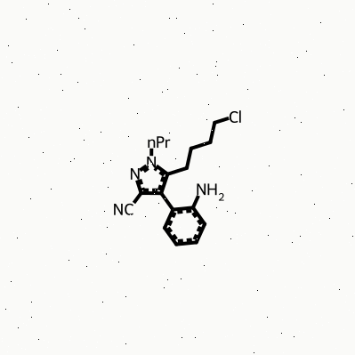 CCCn1nc(C#N)c(-c2ccccc2N)c1CCCCCl